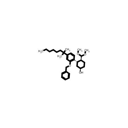 CCCCCCC(C)(C)c1ccc([C@H]2C[C@H](O)CC[C@@H]2C(OC)OC)c(OCc2ccccc2)c1